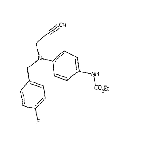 C#CCN(Cc1ccc(F)cc1)c1ccc(NC(=O)OCC)cc1